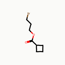 O=C(OCCCBr)C1CCC1